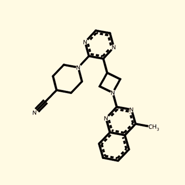 Cc1nc(N2CC(c3nccnc3N3CCC(C#N)CC3)C2)nc2ccccc12